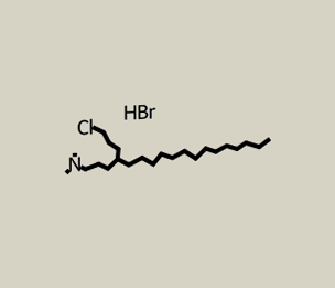 Br.CCCCCCCCCCCCCCC(CCCCl)CCCN(C)C